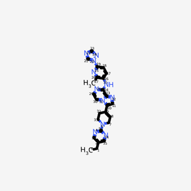 CCc1cnc(N2CC=C(c3cnc4c(Nc5ccc(-n6cncn6)nc5C)nccn34)CC2)nc1